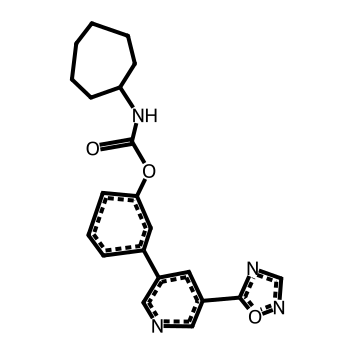 O=C(NC1CCCCCC1)Oc1cccc(-c2cncc(-c3ncno3)c2)c1